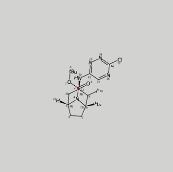 CC(C)(C)OC(=O)N1[C@@H]2CC[C@H]1C(F)[C@H](Nc1cnc(Cl)nn1)C2